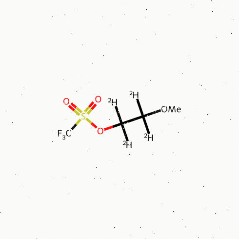 [2H]C([2H])(OC)C([2H])([2H])OS(=O)(=O)C(F)(F)F